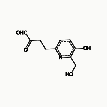 O=CC(=O)CCc1ccc(O)c(CO)n1